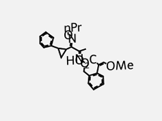 CCCO/N=C(/C(C)=N/OCc1ccccc1/C(=C\OC)C(=O)O)C1CC1c1ccccc1